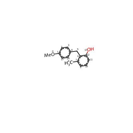 COc1ccc(Cc2c(C)cccc2O)cc1